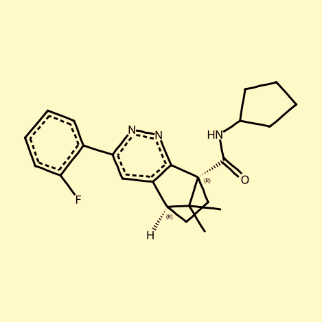 CC1(C)[C@H]2CC[C@]1(C(=O)NC1CCCC1)c1nnc(-c3ccccc3F)cc12